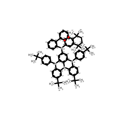 CC(C)(C)c1ccc(N2c3ccc(C(C)(C)C)cc3B3c4cc(C(C)(C)C)ccc4N(c4ccc(C(C)(C)C)cc4)c4cc(N(c5ccc6c(c5)C(C)(C)CCC6(C)C)c5ccccc5-c5ccccc5)cc2c43)cc1